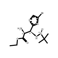 CCOC(=O)[C@@H](N)[C@H](N[S@@+]([O-])C(C)(C)C)c1nc(Br)cs1